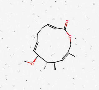 CO[C@H]1/C=C/CC/C=C/C(=O)OC/C(C)=C\[C@@H](C)[C@@H]1C